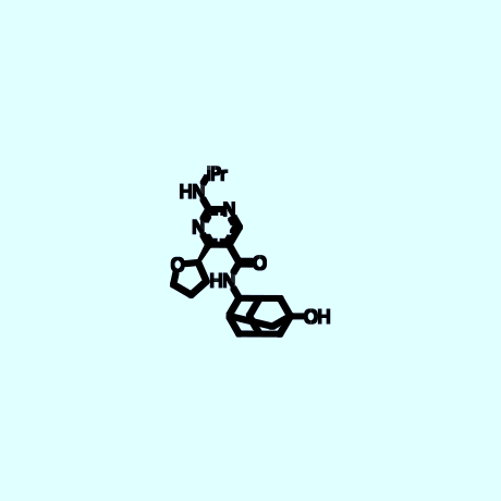 CC(C)Nc1ncc(C(=O)NC2C3CC4CC2CC(O)(C4)C3)c([C@H]2CCCO2)n1